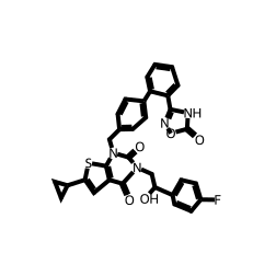 O=c1[nH]c(-c2ccccc2-c2ccc(Cn3c(=O)n(CC(O)c4ccc(F)cc4)c(=O)c4cc(C5CC5)sc43)cc2)no1